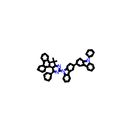 CC1(C)c2nc(-n3c4ccccc4c4cc(-c5ccc6c(c5)c5ccccc5n6-c5ccccc5)ccc43)nc(-c3ccccc3)c2-c2c1c1ccccc1c1ccccc21